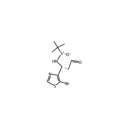 CC(C)(C)[S@+]([O-])N[C@H](CC=O)c1ncsc1Br